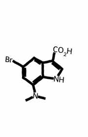 CN(C)c1cc(Br)cc2c(C(=O)O)c[nH]c12